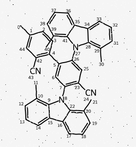 Cc1ccc(-c2cc(-n3c4c(C)cccc4c4cccc(C)c43)c(C#N)cc2-n2c3c(C)cccc3c3cccc(C)c32)c(C#N)c1